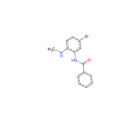 CNc1ccc(Br)cc1NC(=O)c1ccccc1